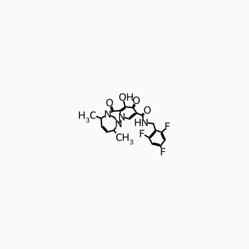 CC1C=CC(C)N2CN1C(=O)c1c(O)c(=O)c(C(=O)NCc3c(F)cc(F)cc3F)cn12